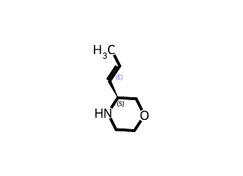 C/C=C/[C@H]1COCCN1